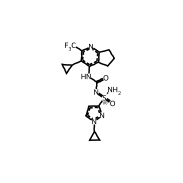 N[S@@](=O)(=NC(=O)Nc1c2c(nc(C(F)(F)F)c1C1CC1)CCC2)c1ccn(C2CC2)n1